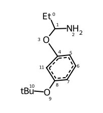 CCC(N)Oc1cccc(OC(C)(C)C)c1